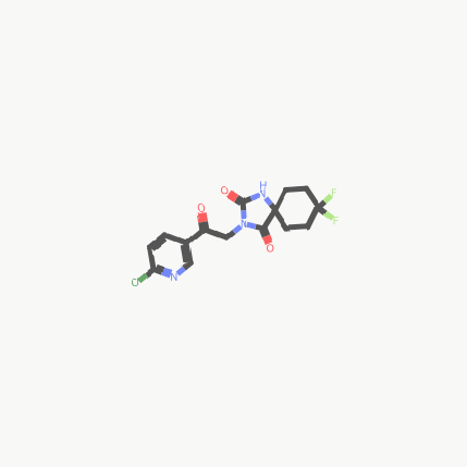 O=C(CN1C(=O)NC2(CCC(F)(F)CC2)C1=O)c1ccc(Cl)nc1